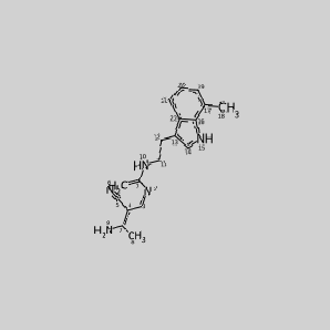 C=C(/N=C\C(C#N)=C(/C)N)NCCc1c[nH]c2c(C)cccc12